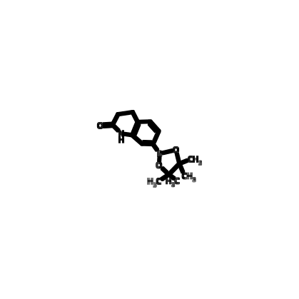 CC1(C)OB(c2ccc3c(c2)NC(=O)CC3)OC1(C)C